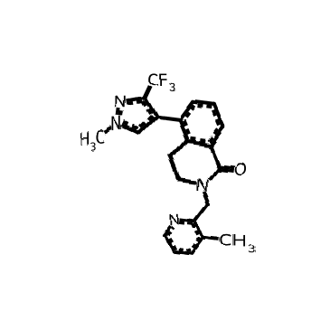 Cc1cccnc1CN1CCc2c(cccc2-c2cn(C)nc2C(F)(F)F)C1=O